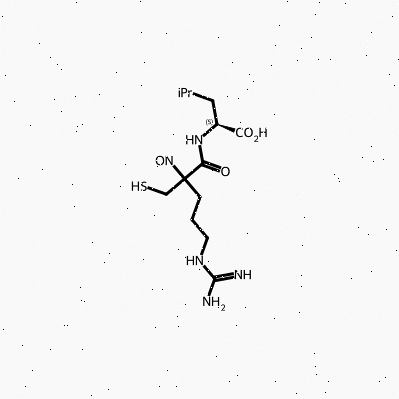 CC(C)C[C@H](NC(=O)C(CS)(CCCNC(=N)N)N=O)C(=O)O